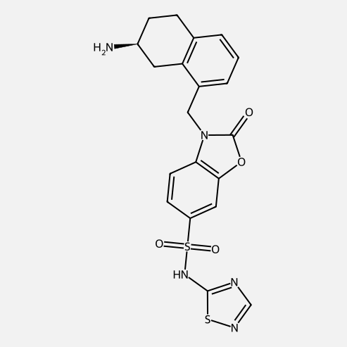 N[C@H]1CCc2cccc(Cn3c(=O)oc4cc(S(=O)(=O)Nc5ncns5)ccc43)c2C1